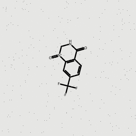 O=C1NC[N+](=O)c2cc(C(F)(F)F)ccc21